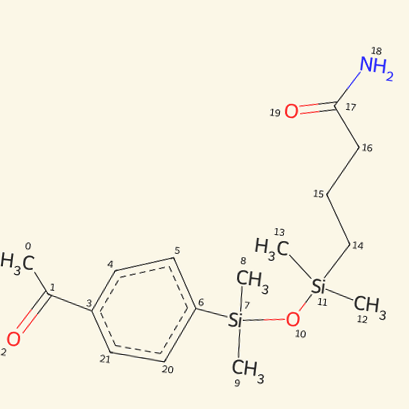 CC(=O)c1ccc([Si](C)(C)O[Si](C)(C)CCCC(N)=O)cc1